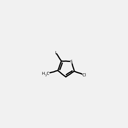 Cc1cc(Cl)sc1I